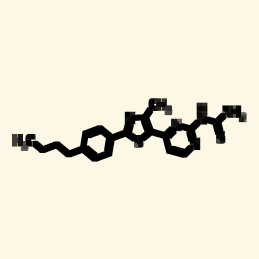 CCCCc1ccc(-c2nc(C)c(-c3ccnc(NC(N)=S)n3)s2)cc1